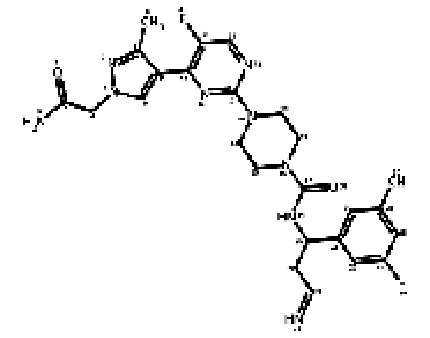 Cc1nn(CC(N)=O)cc1-c1nc(N2CCN(C(=O)NC(CC=N)c3cc(F)cc(C#N)c3)CC2)ncc1F